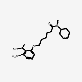 CC(O)c1c(OCCCCCC(=O)N(C)C2CCCCC2)cccc1[N+](=O)[O-]